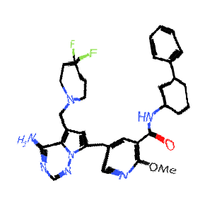 COc1ncc(-c2cc(CN3CCC(F)(F)CC3)c3c(N)ncnn23)cc1C(=O)NC1CCCC(c2ccccc2)C1